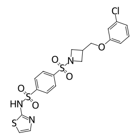 O=S(=O)(Nc1nccs1)c1ccc(S(=O)(=O)N2CC(COc3cccc(Cl)c3)C2)cc1